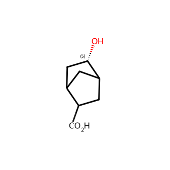 O=C(O)C1CC2CC1C[C@@H]2O